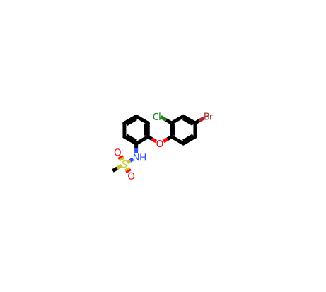 CS(=O)(=O)Nc1ccccc1Oc1ccc(Br)cc1Cl